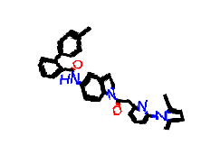 Cc1ccc(-c2ccccc2C(=O)Nc2ccc3c(c2)CCN3C(=O)Cc2cccc(-n3c(C)ccc3C)n2)cc1